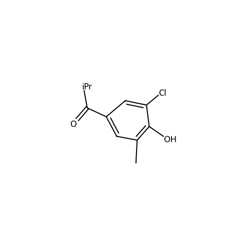 Cc1cc(C(=O)C(C)C)cc(Cl)c1O